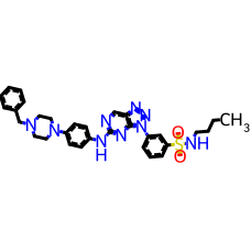 CCCCNS(=O)(=O)c1cccc(-n2nnc3cnc(Nc4ccc(N5CCN(Cc6ccccc6)CC5)cc4)nc32)c1